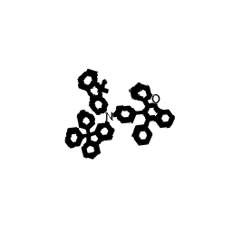 CC1(C)c2ccccc2-c2ccc(N(c3ccc(-c4c(-c5ccccc5)c5ccccc5c5oc6ccccc6c45)cc3)c3ccc4c(c3)C(c3ccccc3)(c3ccccc3)c3ccccc3-4)cc21